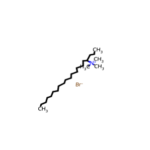 CCCCCCCCCCCCCCCCC(CCC)[N+](C)(C)C.[Br-]